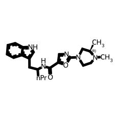 CCCC(Cc1c[nH]c2ccccc12)NC(=O)c1cnc(N2CCN(C)[C@H](C)C2)o1